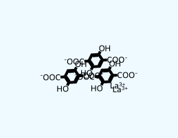 O=C([O-])c1cc(O)c(C(=O)[O-])cc1O.O=C([O-])c1cc(O)c(C(=O)[O-])cc1O.O=C([O-])c1cc(O)c(C(=O)[O-])cc1O.[La+3].[La+3]